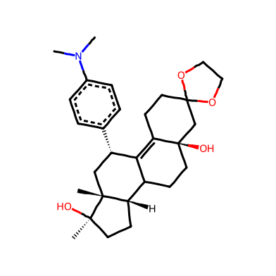 CN(C)c1ccc([C@H]2C[C@]3(C)[C@@H](CC[C@@]3(C)O)C3CC[C@@]4(O)CC5(CCC4=C32)OCCO5)cc1